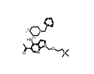 CC(=O)c1cnc2c(ccn2COCC[Si](C)(C)C)c1N[C@H]1CN(Cc2ccccc2)CC[C@H]1C